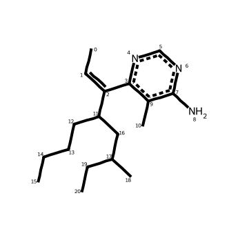 C/C=C(\c1ncnc(N)c1C)C(CCCC)CC(C)CC